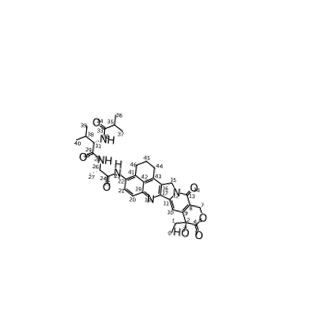 CC[C@@]1(O)C(=O)OCc2c1cc1n(c2=O)Cc2c-1nc1ccc(NC(=O)[C@H](C)NC(=O)[C@@H](NC(=O)C(C)C)C(C)C)c3c1c2CCC3